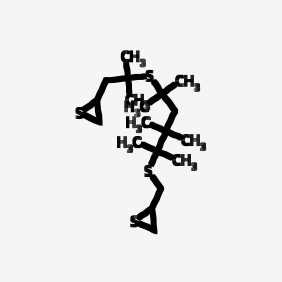 CC(C)(CC1CS1)SC(C)(C)CC(C)(C)C(C)(C)SCC1CS1